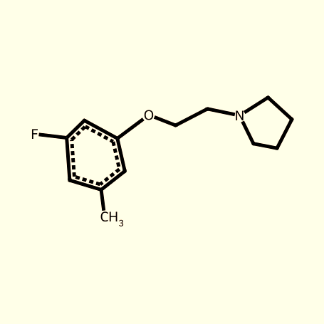 Cc1cc(F)cc(OCCN2CCCC2)c1